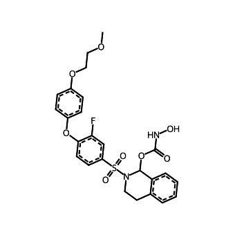 COCCOc1ccc(Oc2ccc(S(=O)(=O)N3CCc4ccccc4C3OC(=O)NO)cc2F)cc1